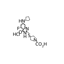 Cl.O=C(O)CN1CCC(SCc2nc3cc(NC4CCCC4)cc(F)c3c(=O)[nH]2)CC1